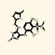 Bc1ccc(Nc2n[s+]([O-])nc2NCC2CC=C(C)O2)c(O)c1S(=O)(=O)N(C)C